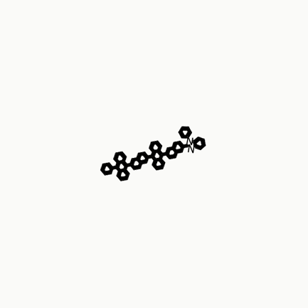 c1ccc(-c2c3ccccc3c(-c3ccc4cc(-c5c6ccccc6c(-c6ccc7cc(-c8nc9ccccc9n8-c8ccccc8)ccc7c6)c6ccccc56)ccc4c3)c3ccccc23)cc1